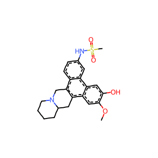 COc1cc2c3c(c4ccc(NS(C)(=O)=O)cc4c2cc1O)CN1CCCCC1C3